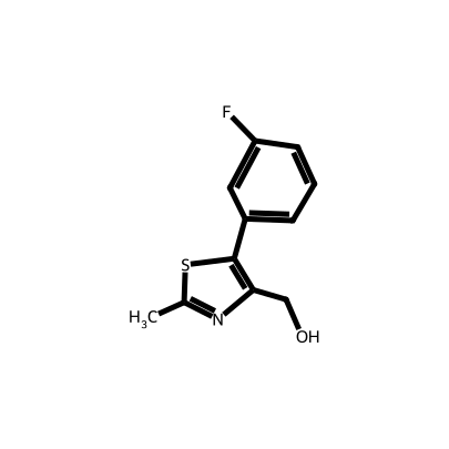 Cc1nc(CO)c(-c2cccc(F)c2)s1